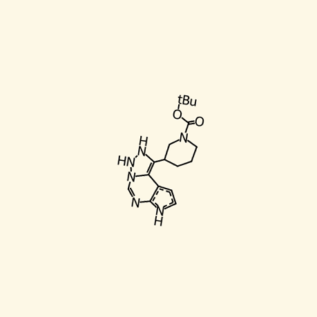 CC(C)(C)OC(=O)N1CCCC(C2=C3c4cc[nH]c4N=CN3NN2)C1